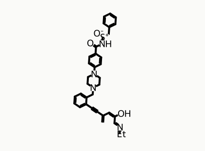 C=C(C#Cc1ccccc1CN1CCN(c2ccc(C(=O)N[S+]([O-])Cc3ccccc3)cc2)CC1)/C=C(O)\C=N\CC